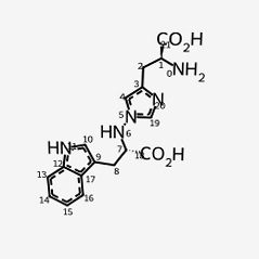 N[C@@H](Cc1cn(N[C@@H](Cc2c[nH]c3ccccc23)C(=O)O)cn1)C(=O)O